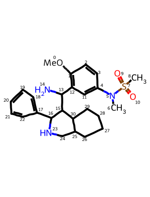 COc1ccc(N(C)S(C)(=O)=O)cc1C(N)C1C(c2ccccc2)NCC2CCCCC21